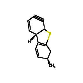 C[C@H]1C=CC2=C(C1)SC1C#CC=C[C@@H]21